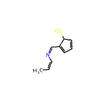 C/C=C\N=C/C1=CC=CC1S